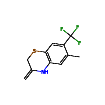 C=C1CSc2cc(C(F)(F)F)c(C)cc2N1